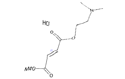 COC(=O)/C=C/C(=O)OCCN(C)C.Cl